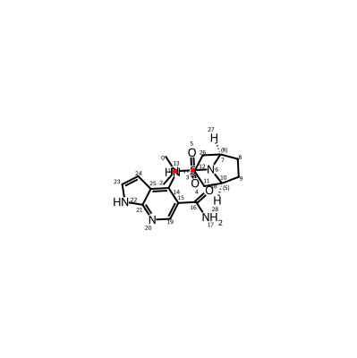 CN(C)S(=O)(=O)N1[C@@H]2CC[C@H]1C[C@H](Nc1c(C(N)=O)cnc3[nH]ccc13)C2